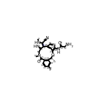 CN/C(C#N)=C1\C(=N)CN(C)C(=O)c2ccc(F)cc2[C@@H](C)Oc2cc1cnc2NC(=O)CN